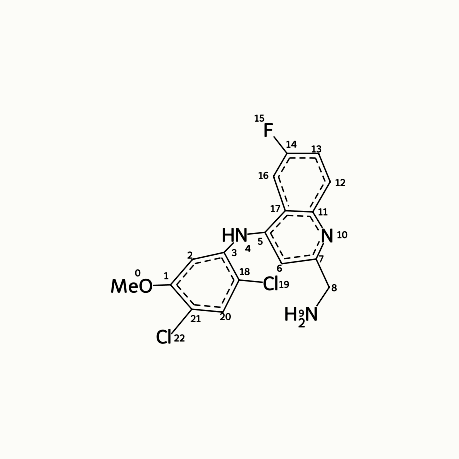 COc1cc(Nc2cc(CN)nc3ccc(F)cc23)c(Cl)cc1Cl